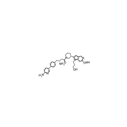 COc1cc2c(cn1)cc([C@@H]1CCCN(C(=O)C[C@H](N)Cc3ccc(-c4ccc(N)nc4)cc3)C1)n2CCCO